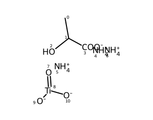 CC(O)C(=O)[O-].[NH4+].[NH4+].[NH4+].[O]=[Ti]([O-])[O-]